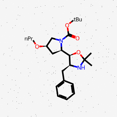 CCCO[C@@H]1C[C@H]([C@H]2OC(C)(C)N[C@H]2Cc2ccccc2)N(C(=O)OC(C)(C)C)C1